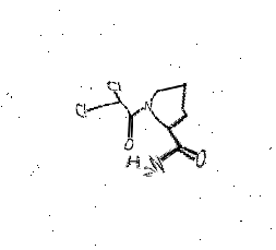 NC(=O)C1CCCN1C(=O)C(Cl)Cl